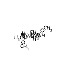 CN/C(=C\C(=N)NCC(C)(C)CNc1cc(-c2ccc(C)cc2)[nH]n1)c1ccc(C)cc1